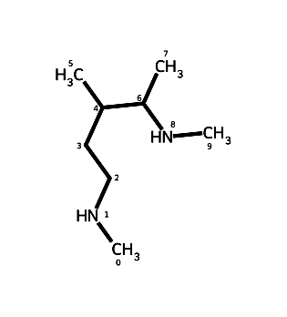 CNCCC(C)C(C)NC